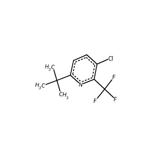 CC(C)(C)c1ccc(Cl)c(C(F)(F)F)n1